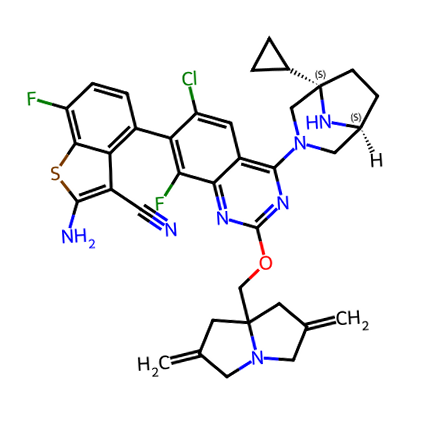 C=C1CN2CC(=C)CC2(COc2nc(N3C[C@@H]4CC[C@](C5CC5)(C3)N4)c3cc(Cl)c(-c4ccc(F)c5sc(N)c(C#N)c45)c(F)c3n2)C1